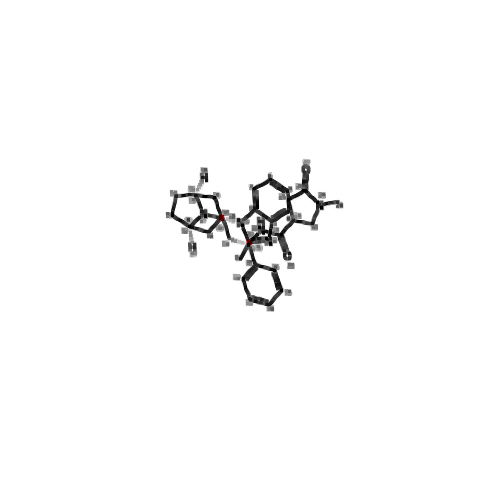 Cc1nc2ccccc2n1[C@@H]1C[C@H]2CC[C@@H](C1)N2CC[C@H](NC(=O)C1CC(=O)N(C)C1)c1ccccc1